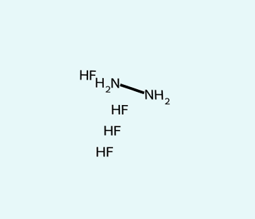 F.F.F.F.NN